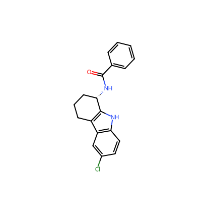 O=C(N[C@H]1CCCc2c1[nH]c1ccc(Cl)cc21)c1ccccc1